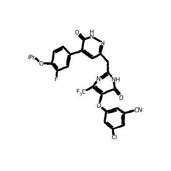 CC(C)Oc1ccc(-c2cc(Cc3nc(C(F)(F)F)c(Oc4cc(Cl)cc(C#N)c4)c(=O)[nH]3)n[nH]c2=O)cc1F